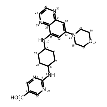 O=C(O)c1cnc(NC2CCC(Nc3cc(N4CCOCC4)cc4nccnc34)CC2)nc1